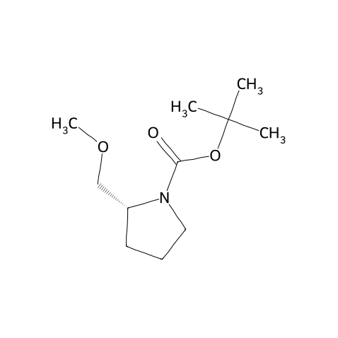 COC[C@H]1CCCN1C(=O)OC(C)(C)C